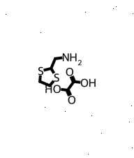 NCC1SCCS1.O=C(O)C(=O)O